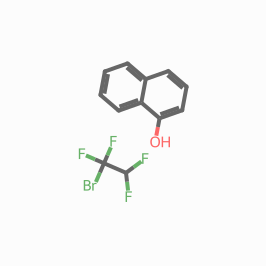 FC(F)C(F)(F)Br.Oc1cccc2ccccc12